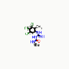 Cc1c(NC(=N)NC(=O)NC(C)(C)C)cc(Cl)c(Cl)c1Cl